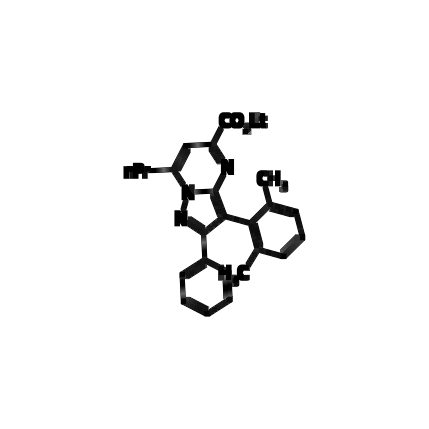 CCCc1cc(C(=O)OCC)nc2c(-c3c(C)cccc3C)c(-c3ccccc3)nn12